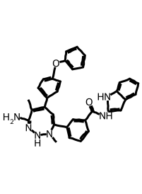 Cc1c(-c2ccc(Oc3ccccc3)cc2)cc(-c2cccc(C(=O)Nc3cc4ccccc4[nH]3)c2)n(C)[nH]nc1N